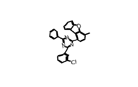 Cc1ccc(-c2nc(-c3ccccc3)nc(-c3cccc(Cl)c3)n2)c2c1oc1ccccc12